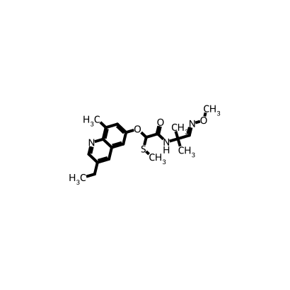 CCc1cnc2c(C)cc(OC(SC)C(=O)NC(C)(C)C=NOC)cc2c1